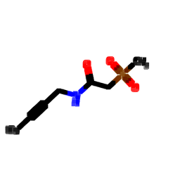 CC(C)(C)C#CCNC(=O)CS(C)(=O)=O